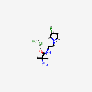 CC(C)(N)C(=O)NCCN1CC[C@@H](F)C1.Cl.Cl